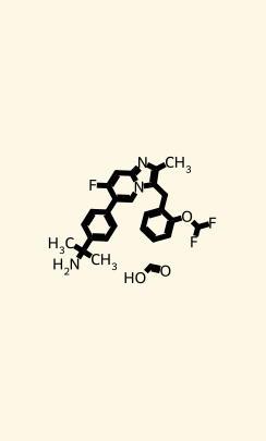 Cc1nc2cc(F)c(-c3ccc(C(C)(C)N)cc3)cn2c1Cc1ccccc1OC(F)F.O=CO